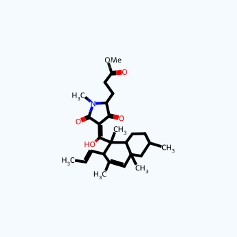 C/C=C/C1C(C)=CC2(C)CC(C)CCC2C1(C)/C(O)=C1\C(=O)C(CCC(=O)OC)N(C)C1=O